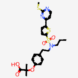 CCCN(CCc1ccc(OC(C)(C)C(=O)O)cc1)S(=O)(=O)c1ccc(-c2ccnc(SC)n2)s1